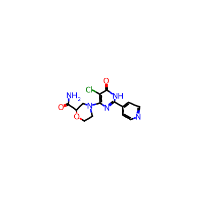 NC(=O)C1CN(c2nc(-c3ccncc3)[nH]c(=O)c2Cl)CCO1